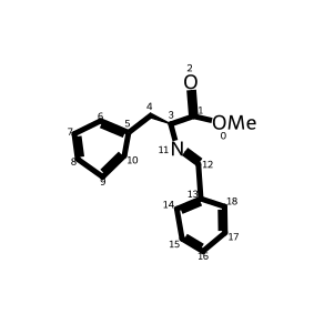 COC(=O)[C@H](Cc1ccccc1)N=Cc1ccccc1